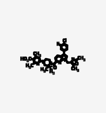 Cc1nc(Cn2cc(-c3ccc(Cl)c(F)c3)c3ccc(C(=O)N4CCN(c5cc(C)c(C(=O)O)c(C)n5)CC4(C)C)nc32)c(C)o1